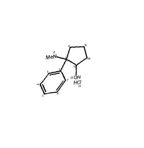 CNC1(c2ccccc2)CCCC1O.Cl